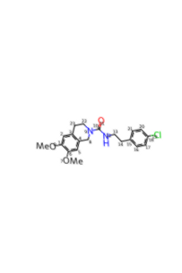 COc1cc2c(cc1OC)CN(C(=O)NCCc1ccc(Cl)cc1)CC2